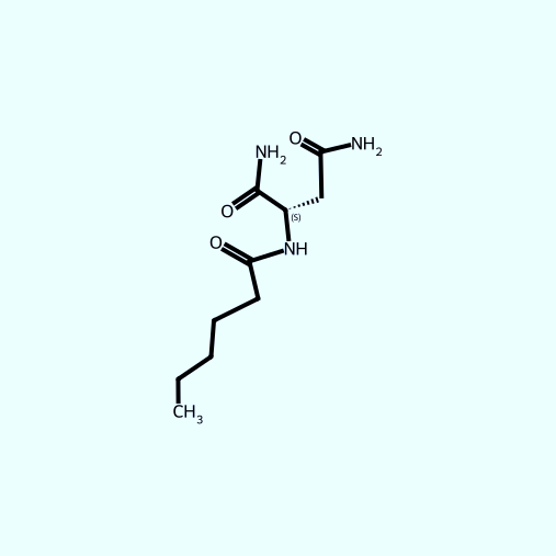 CCCCCC(=O)N[C@@H](CC(N)=O)C(N)=O